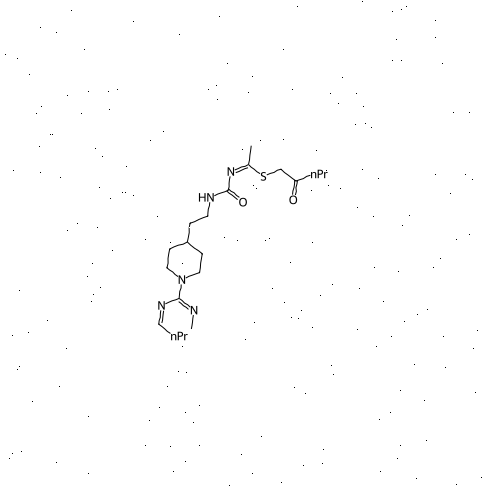 CCC/C=N\C(=N/C)N1CCC(CCNC(=O)/N=C(/C)SCC(=O)CCC)CC1